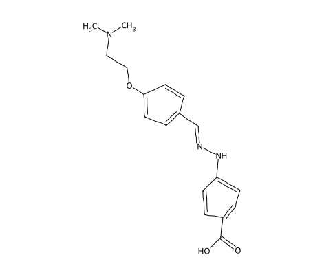 CN(C)CCOc1ccc(C=NNc2ccc(C(=O)O)cc2)cc1